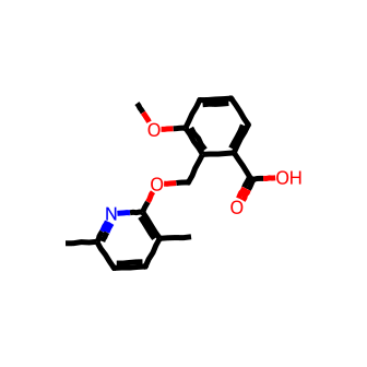 COc1cccc(C(=O)O)c1COc1nc(C)ccc1C